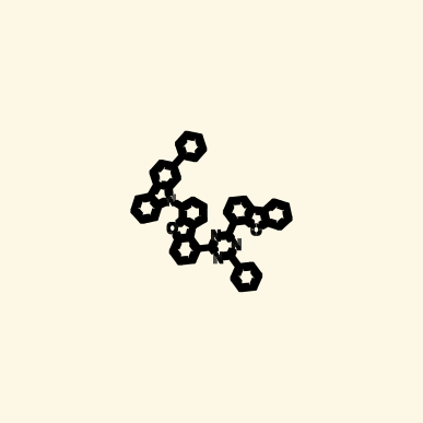 c1ccc(-c2ccc3c4ccccc4n(-c4cccc5c4oc4cccc(-c6nc(-c7ccccc7)nc(-c7cccc8c7oc7ccccc78)n6)c45)c3c2)cc1